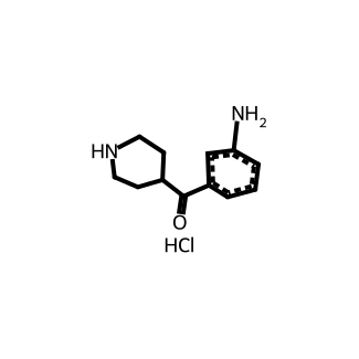 Cl.Nc1cccc(C(=O)C2CCNCC2)c1